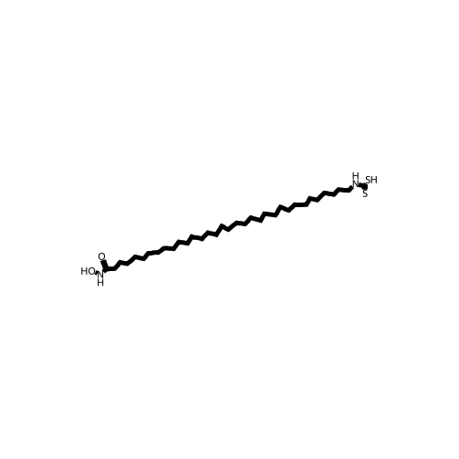 O=C(CCCCCCCCCCCCCCCCCCCCCCCCCCCCCCCCCNC(=S)S)NO